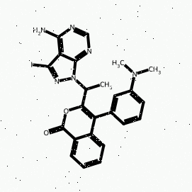 CC(c1oc(=O)c2ccccc2c1-c1cccc(N(C)C)c1)n1nc(I)c2c(N)ncnc21